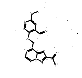 COc1cc(C=O)c(OCc2nccn3nc(C(N)=O)cc23)cn1